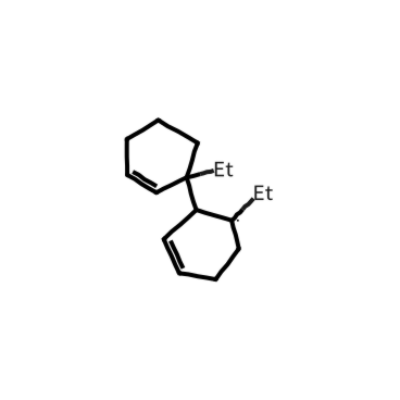 CC[C]1CCC=CC1C1(CC)C=CCCC1